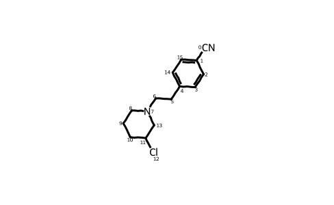 N#Cc1ccc(CCN2CCCC(Cl)C2)cc1